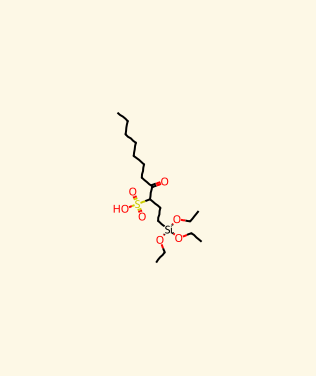 CCCCCCCC(=O)C(CC[Si](OCC)(OCC)OCC)S(=O)(=O)O